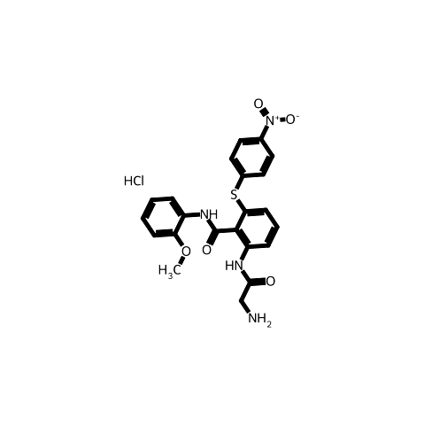 COc1ccccc1NC(=O)c1c(NC(=O)CN)cccc1Sc1ccc([N+](=O)[O-])cc1.Cl